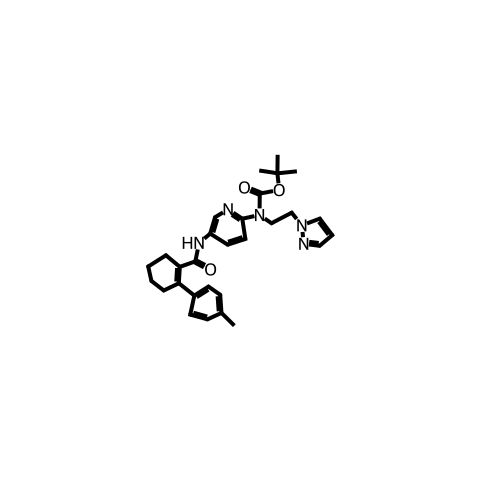 Cc1ccc(C2=C(C(=O)Nc3ccc(N(CCn4cccn4)C(=O)OC(C)(C)C)nc3)CCCC2)cc1